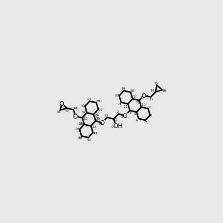 OC(COC1C2CCCCC2C(OCC2CC2)C2CCCCC21)COC1C2CCCCC2C(OCC2CO2)C2CCCCC21